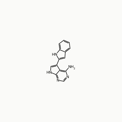 Nc1ncnc2[nH]cc(-c3cc4ccccc4[nH]3)c12